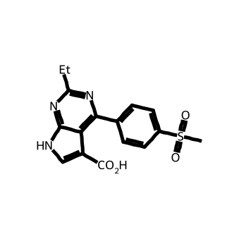 CCc1nc(-c2ccc(S(C)(=O)=O)cc2)c2c(C(=O)O)c[nH]c2n1